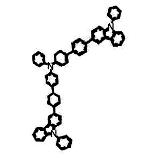 C1=CC(c2ccc(N(C3=CC=C(c4ccc(-c5ccc6c(c5)c5ccccc5n6-c5ccccc5)cc4)CC3)c3ccccc3)cc2)CC=C1c1ccc2c(c1)c1ccccc1n2-c1ccccc1